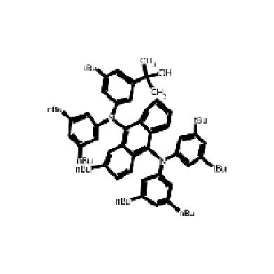 CCCCc1cc(CCCC)cc(N(c2cc(C(C)(C)C)cc(C(C)(C)C)c2)c2c3ccccc3c(N(c3cc(CCCC)cc(CCCC)c3)c3cc(C(C)(C)C)cc(C(C)(C)O)c3)c3cc(CCCC)ccc23)c1